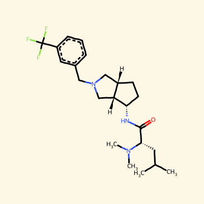 CC(C)C[C@@H](C(=O)N[C@H]1CC[C@H]2CN(Cc3cccc(C(F)(F)F)c3)C[C@H]21)N(C)C